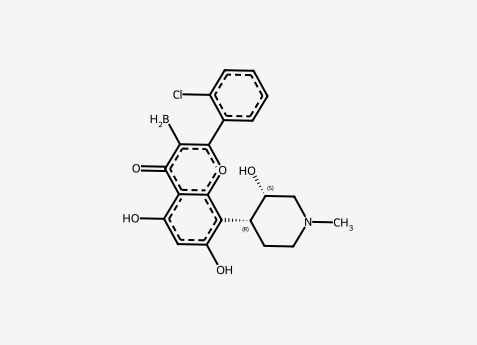 Bc1c(-c2ccccc2Cl)oc2c([C@H]3CCN(C)C[C@H]3O)c(O)cc(O)c2c1=O